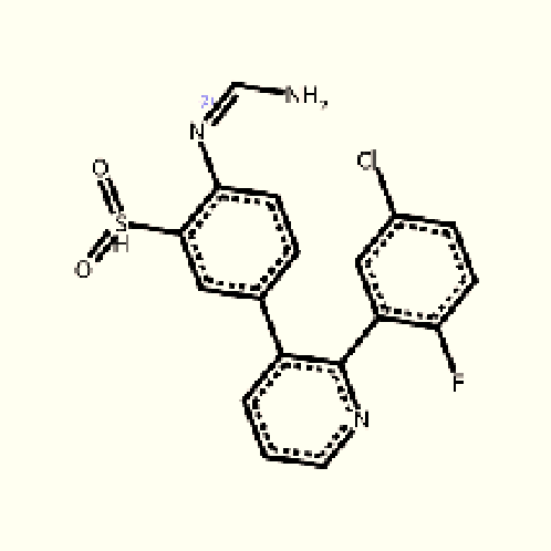 N/C=N\c1ccc(-c2cccnc2-c2cc(Cl)ccc2F)cc1[SH](=O)=O